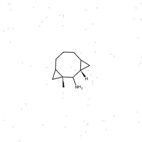 C[C@@]12CC1CCCC1C[C@@H]1C2N